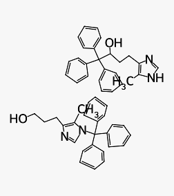 Cc1[nH]cnc1CCC(O)C(c1ccccc1)(c1ccccc1)c1ccccc1.Cc1c(CCCO)ncn1C(c1ccccc1)(c1ccccc1)c1ccccc1